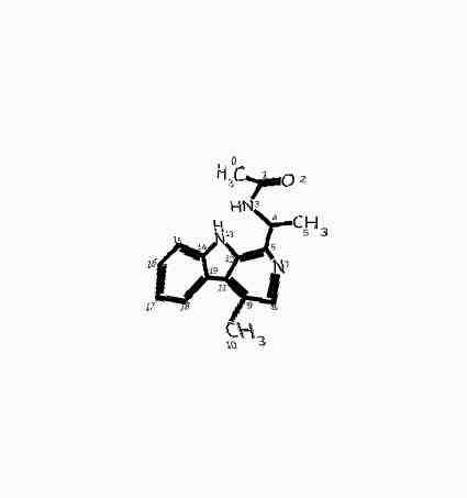 CC(=O)NC(C)c1ncc(C)c2c1[nH]c1ccccc12